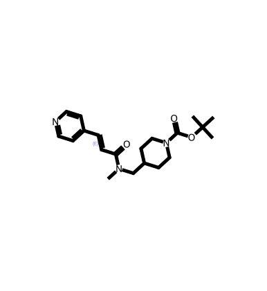 CN(CC1CCN(C(=O)OC(C)(C)C)CC1)C(=O)/C=C/c1ccncc1